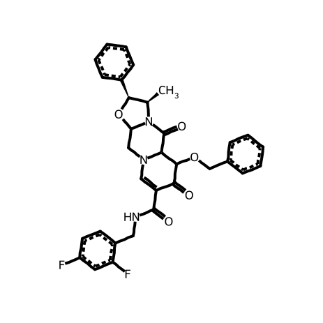 C[C@@H]1[C@H](c2ccccc2)OC2CN3C=C(C(=O)NCc4ccc(F)cc4F)C(=O)C(OCc4ccccc4)C3C(=O)N21